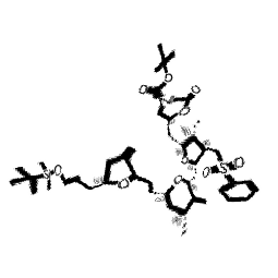 C=C1C[C@H](CCCO[Si](C)(C)C(C)(C)C)OC1CC[C@H]1C[C@@H](C)C(=C)[C@@H](C[C@@H]2O[C@H](C[C@H]3CN(C(=O)OC(C)(C)C)C(=O)O3)[C@H](C)[C@H]2CS(=O)(=O)c2ccccc2)O1